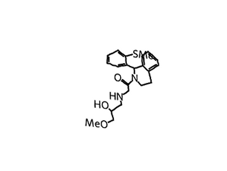 COCC(O)CNCC(=O)N1CCc2ccccc2C1c1ccccc1SC